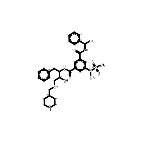 CC(NC(=O)c1cc(C(=O)NC(Cc2ccccc2)C(O)CNCC2CCNCC2)cc(N(C)S(C)(=O)=O)c1)c1ccccc1